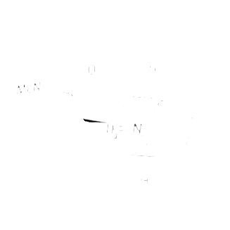 CNC(=O)C[C@H]1C[C@H]2CC[C@@H](C1)N2P